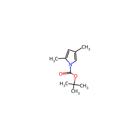 Cc1cc(C)n(C(=O)OC(C)(C)C)c1